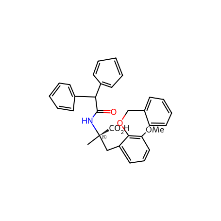 COc1cccc(C[C@](C)(NC(=O)C(c2ccccc2)c2ccccc2)C(=O)O)c1OCc1ccccc1